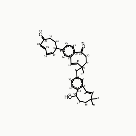 CC1(C)/C=C/c2cc(CC3(C)/C=C/c4cc(C5/C=C\C=C\C(=O)CC5)ccc4C(=O)CC3)ccc2C(O)CC1